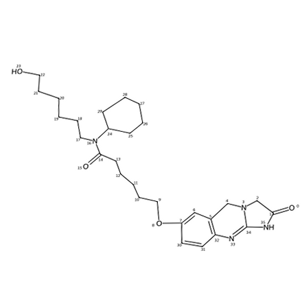 O=C1CN2Cc3cc(OCCCCCC(=O)N(CCCCCCO)C4CCCCC4)ccc3N=C2N1